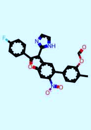 Cc1ccc(-c2cc3c(-c4ncc[nH]4)c(-c4ccc(F)cc4)oc3cc2[N+](=O)[O-])cc1OC=O